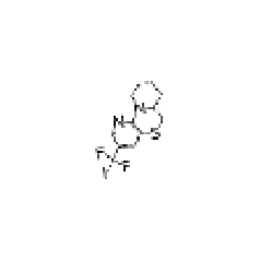 FC(F)(F)c1cnc2c(c1)SCC1CCCCN21